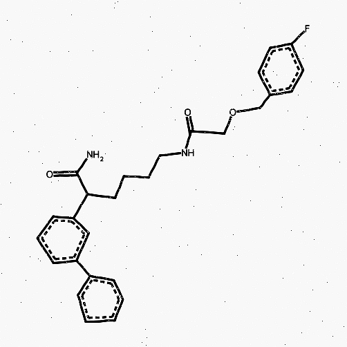 NC(=O)C(CCCCNC(=O)COCc1ccc(F)cc1)c1cccc(-c2ccccc2)c1